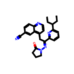 CCC(CC)c1cccc(/C(Cc2ccnc3ccc(C#N)cc23)=N/N2CCCC2=O)n1